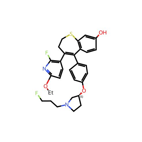 CCOc1ccc(C2=C(c3ccc(O[C@H]4CCN(CCCF)C4)cc3)c3ccc(O)cc3SCC2)c(F)n1